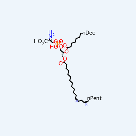 CCCCC/C=C\C/C=C\CCCCCCCCCCCC(=O)OC[C@H](COP(=O)(O)OC[C@H](N)C(=O)O)OC(=O)CCCCCCCCCCCCCCCC